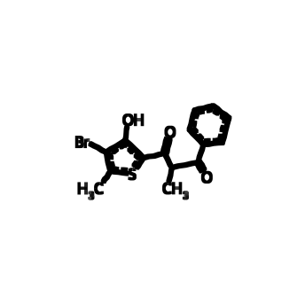 Cc1sc(C(=O)C(C)C(=O)c2ccccc2)c(O)c1Br